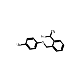 CC(C)(C)c1ccc(OCc2ccccc2C(O)C#N)cc1